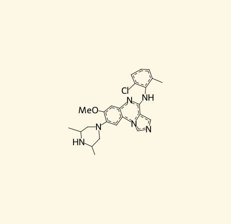 COc1cc2nc(Nc3c(C)cccc3Cl)c3cncn3c2cc1N1CC(C)NC(C)C1